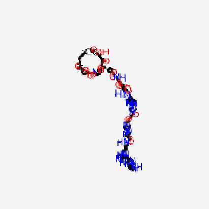 CO[C@H]1CC2CCCC(O2)C(=O)C(=O)N2CCCC[C@H]2C(=O)O[C@H](CC[C@H]2CC[C@H](OC(=O)NCCOCCC(=O)NCc3cnc(N4CCN(C(=O)CCOCCN5CCN(c6ncc(C(=O)NCCCCn7nc(-c8cnc9[nH]ccc9c8)c8c(N)ncnc87)cn6)CC5)CC4)nc3)CC2)CC(=O)[C@H](C)/C=C(\C)[C@@H](O)CC(=O)[C@H](C)C[C@H](C)/C=C/C=C/C=C/1C